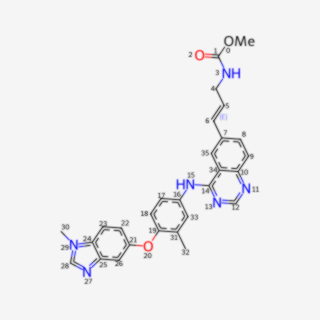 COC(=O)NC/C=C/c1ccc2ncnc(Nc3ccc(Oc4ccc5c(c4)ncn5C)c(C)c3)c2c1